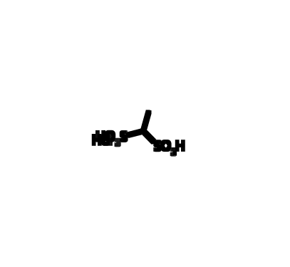 CC(S(=O)(=O)O)S(=O)(=O)O.Cl